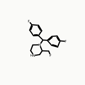 FCC1CNCCN1C(c1ccc(F)cc1)c1ccc(F)cc1